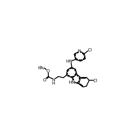 CC(C)(C)OC(=O)NCCc1cc(Nc2ccc(Cl)nc2)cc2c3c([nH]c12)=CCC(Cl)C=3